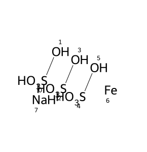 O=S(=O)(O)O.O=S(=O)(O)O.O=S(=O)(O)O.[Fe].[NaH]